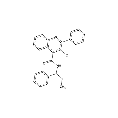 CCC(NC(=O)c1c(Cl)c(-c2ccccc2)nc2ccccc12)c1ccccc1